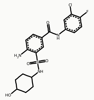 Nc1ccc(C(=O)Nc2ccc(F)c(Cl)c2)cc1S(=O)(=O)NC1CCC(O)CC1